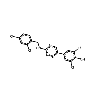 Oc1c(Cl)cc(-c2cnc(NCc3ccc(Cl)cc3Cl)nn2)cc1Cl